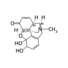 CN1CC[C@]23C4=C5C=CC(O)C4(O)O[C@H]2C(=O)C=C[C@H]3[C@H]1C5